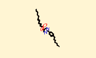 CCCCCCCC/C=C/C(=O)Oc1cnc(-c2ccc(CCCCCCC)cc2)nc1